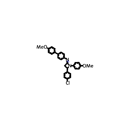 COc1ccc(-c2ccc(/N=C3\CC(c4ccc(Cl)cc4)N3c3ccc(OC)cc3)cc2)cc1